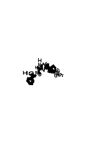 CC(C)S(=O)(=O)c1ccc(-c2cnc3[nH]cc(C(=O)NCC(O)c4ccccc4)c3n2)cc1